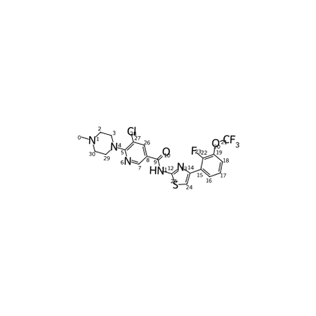 CN1CCN(c2ncc(C(=O)Nc3nc(-c4cccc(OC(F)(F)F)c4F)cs3)cc2Cl)CC1